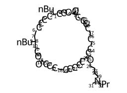 CCCCC1CCCCCCC(CCCC)CCOC(=O)CCCCCCCCCC(OCCCCN(C)C(C)C)CCCCCCCCCC(=O)OCC1